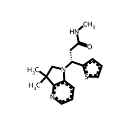 CNC(=O)C[C@H](c1cccs1)N1CC(C)(C)c2ncccc21